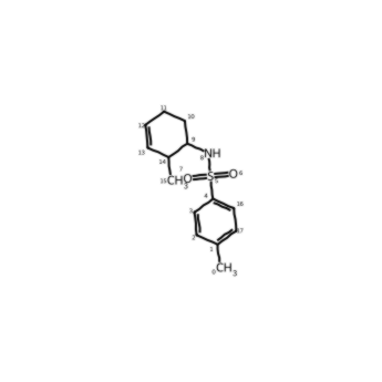 Cc1ccc(S(=O)(=O)NC2CCC=CC2C)cc1